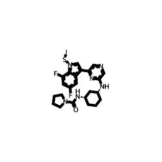 O=C(N[C@H]1CCC[C@@H](Nc2cncc(-c3cn(SI)c4c(F)cc(F)cc34)n2)C1)N1CCCC1